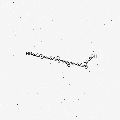 O=C(CSCSCSCC[S+]([O-])CSCSCSC(=O)CSCSCSCCOOCSCSCO)OCSCSCO